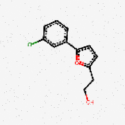 OCCc1ccc(-c2cccc(Cl)c2)o1